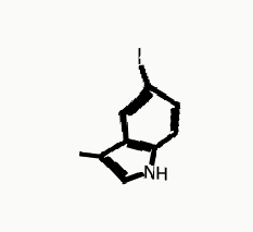 Cc1c[nH]c2ccc(I)cc12